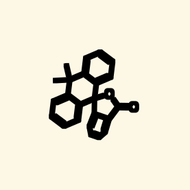 CC1(C)c2ccccc2C2(OC(=O)c3ccccc32)c2ccccc21